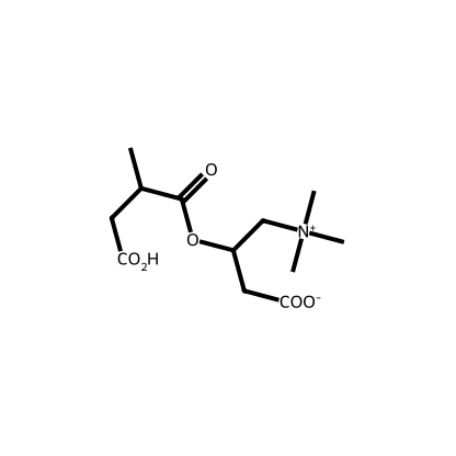 CC(CC(=O)O)C(=O)OC(CC(=O)[O-])C[N+](C)(C)C